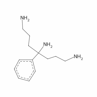 NCCCC(N)(CCCN)c1ccccc1